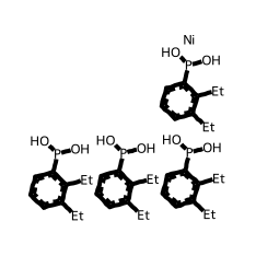 CCc1cccc(P(O)O)c1CC.CCc1cccc(P(O)O)c1CC.CCc1cccc(P(O)O)c1CC.CCc1cccc(P(O)O)c1CC.[Ni]